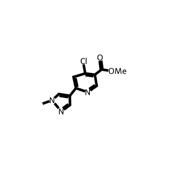 COC(=O)c1cnc(-c2cnn(C)c2)cc1Cl